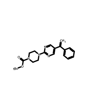 C=C(c1ccccc1)c1cnc(N2CCN(C(=O)OC(C)(C)C)CC2)nc1